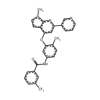 Cc1ccc(NC(=O)c2cccc(C(F)(F)F)c2)cc1Oc1cc(-c2cccnc2)nc2c1ccn2C